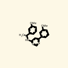 COc1cccc(-c2cc(N[C@@H](C)c3cccc(OC)c3)ncn2)c1